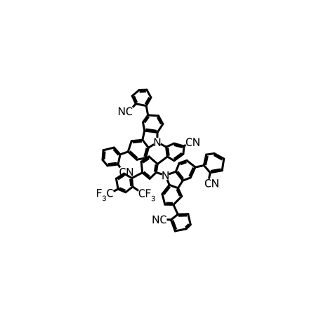 N#Cc1ccc(-c2ccc(-c3ccc(C(F)(F)F)cc3C(F)(F)F)cc2-n2c3ccc(-c4ccccc4C#N)cc3c3cc(-c4ccccc4C#N)ccc32)c(-n2c3ccc(-c4ccccc4C#N)cc3c3cc(-c4ccccc4C#N)ccc32)c1